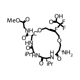 COC(=O)CNC(=O)[C@@H]1COCC=CCOC[C@H](N)C(=O)N[C@@H](C(C)C)C(=O)N[C@@H](C(C)C)C(=O)N1.O=C(O)C(F)(F)F